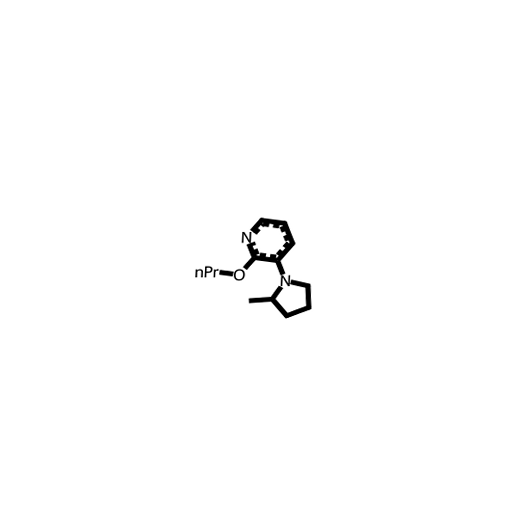 CCCOc1ncccc1N1CCCC1C